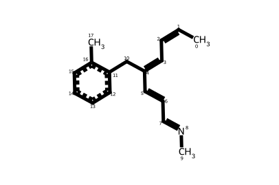 C\C=C/C=C(/C=C/C=N/C)Cc1ccccc1C